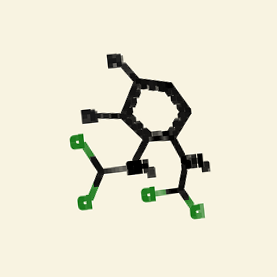 CCc1ccc([SiH2]C(Cl)Cl)c([SiH2]C(Cl)Cl)c1CC